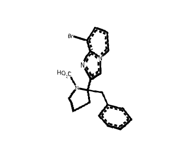 O=C(O)N1CCCC1(Cc1ccccc1)c1cn2cccc(Br)c2n1